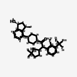 C[C@@H]1C[C@@H](O)c2ncnc(N3CCN(C(=O)C(c4cccc(C(F)(F)F)c4F)C4CCC(C)(C)N4)CC3)c21